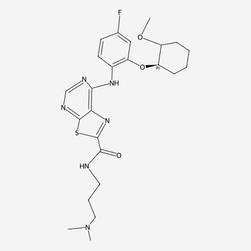 COC1CCCC[C@H]1Oc1cc(F)ccc1Nc1ncnc2sc(C(=O)NCCCN(C)C)nc12